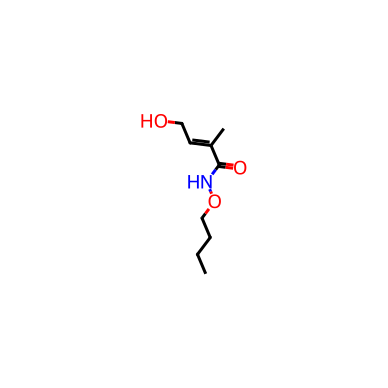 CCCCONC(=O)C(C)=CCO